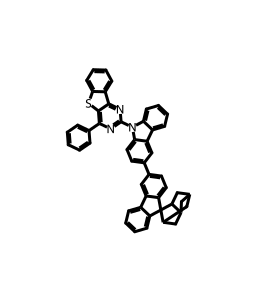 c1ccc(-c2nc(-n3c4ccccc4c4cc(-c5ccc6c(c5)-c5ccccc5C65C6CC7CC(C6)C5C7)ccc43)nc3c2sc2ccccc23)cc1